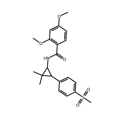 COc1ccc(C(=O)NC2C(c3ccc(S(C)(=O)=O)cc3)C2(C)C)c(OC)c1